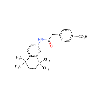 CC1(C)CCC(C)(C)c2cc(NC(=O)Cc3ccc(C(=O)O)cc3)ccc21